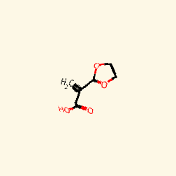 C=C(C(=O)O)C1OCCO1